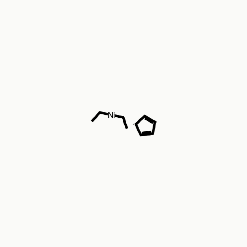 C[CH2][Ni][CH2]C.[CH]1C=CC=C1